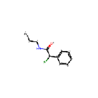 CC(C)CCNC(=O)C(Br)c1ccccc1